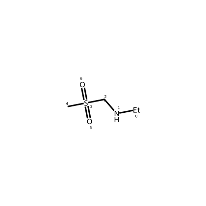 CCN[CH]S(C)(=O)=O